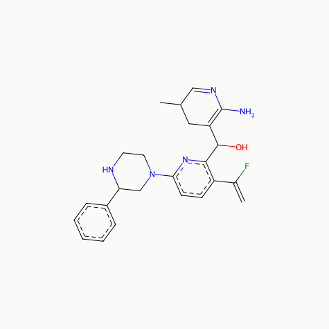 C=C(F)c1ccc(N2CCNC(c3ccccc3)C2)nc1C(O)C1=C(N)N=CC(C)C1